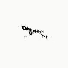 CNC(=O)[C@H](CCCCNC(=N)N)NC(=O)c1csc([C@H]2C[C@@H](O)CN2C(=O)c2cn3cc(Cl)ccc3n2)n1